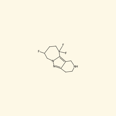 FC1CCC(F)(F)c2c3c(nn2C1)CCNC3